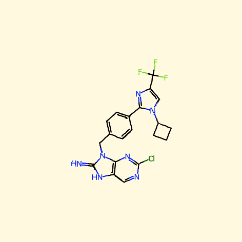 N=c1[nH]c2cnc(Cl)nc2n1Cc1ccc(-c2nc(C(F)(F)F)cn2C2CCC2)cc1